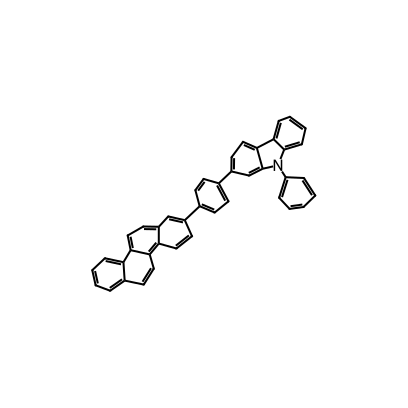 c1ccc(-n2c3ccccc3c3ccc(-c4ccc(-c5ccc6c(ccc7c8ccccc8ccc67)c5)cc4)cc32)cc1